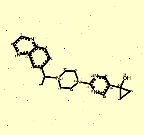 CC(c1ccc2nccnc2c1)N1CCN(c2ncc(C3(O)CC3)cn2)CC1